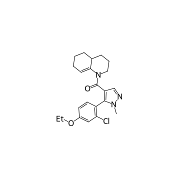 CCOc1ccc(-c2c(C(=O)N3CCCC4CCCC=C43)cnn2C)c(Cl)c1